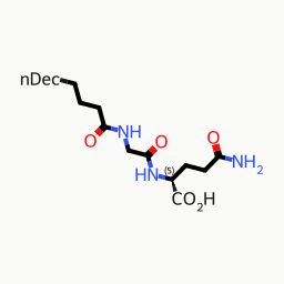 CCCCCCCCCCCCCC(=O)NCC(=O)N[C@@H](CCC(N)=O)C(=O)O